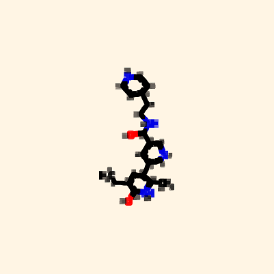 CCc1cc(-c2cncc(C(=O)NCCc3ccncc3)c2)c(C)[nH]c1=O